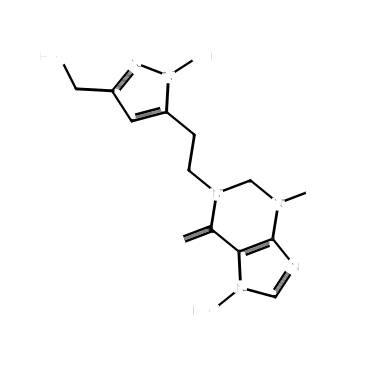 CCc1cc(CCN2CN(C)c3ncn(C)c3C2=O)n(C)n1